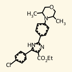 CCOC(=O)c1nc(-c2ccc(N3C(C)COCC3C)cc2)[nH]c1-c1ccc(Cl)cc1